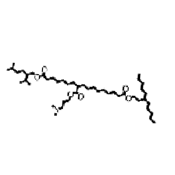 CCCCCC(CCCCC)CCOC(=O)CCCCCCCCC(CCCCCCC(=O)OCC(CCC(C)C)C(C)C)C(=O)OCCCN(C)C